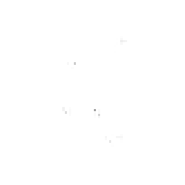 O=C(O)C[N](O)[Al]